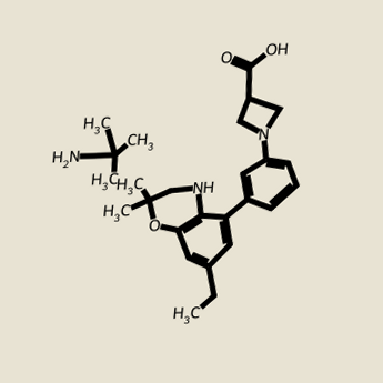 CC(C)(C)N.CCc1cc2c(c(-c3cccc(N4CC(C(=O)O)C4)c3)c1)NCC(C)(C)O2